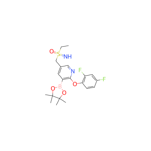 CCS(=N)(=O)Cc1cnc(Oc2ccc(F)cc2F)c(B2OC(C)(C)C(C)(C)O2)c1